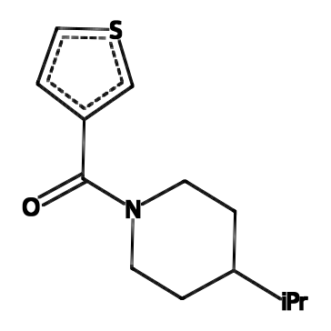 CC(C)C1CCN(C(=O)c2ccsc2)CC1